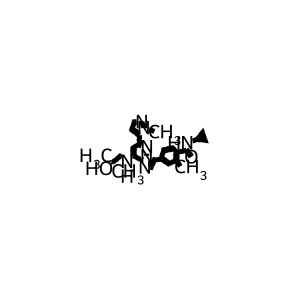 Cc1cc(-c2cnc3c(NCC(C)(C)O)cc(-c4ccnn4C)nn23)ccc1C(=O)NC1CC1